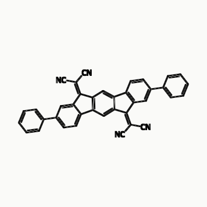 N#CC(C#N)=C1c2cc(-c3ccccc3)ccc2-c2cc3c(cc21)-c1ccc(-c2ccccc2)cc1C3=C(C#N)C#N